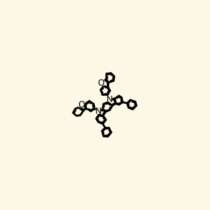 C1=Cc2oc3ccc(-n4c5ccc(-c6ccccc6)cc5c5cc6c7cc(-c8ccccc8)ccc7n(-c7ccc8oc9ccccc9c8c7)c6cc54)cc3c2CC1